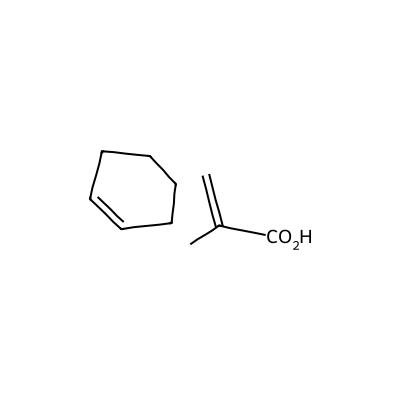 C1=CCCCC1.C=C(C)C(=O)O